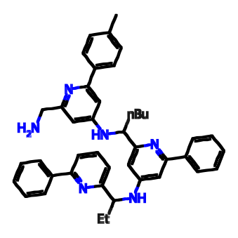 CCCCC(Nc1cc(CN)nc(-c2ccc(C)cc2)c1)c1cc(NC(CC)c2cccc(-c3ccccc3)n2)cc(-c2ccccc2)n1